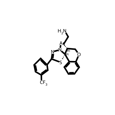 CC(=O)N1N=C(c2cccc(C(F)(F)F)c2)S[C@]12c1ccccc1OC[C@H]2CCN